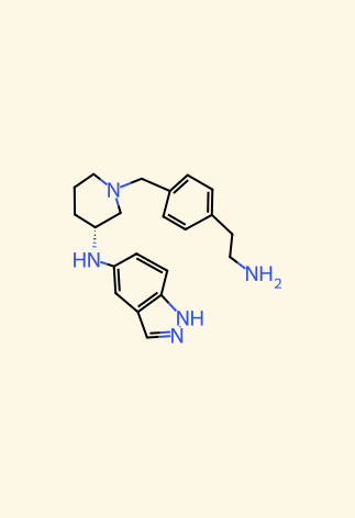 NCCc1ccc(CN2CCC[C@@H](Nc3ccc4[nH]ncc4c3)C2)cc1